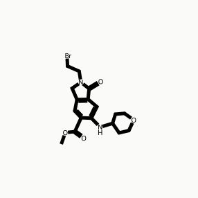 COC(=O)c1cc2c(cc1NC1CCOCC1)C(=O)N(CCBr)C2